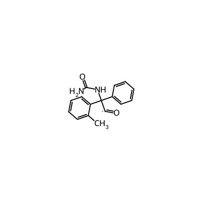 Cc1ccccc1C([C]=O)(NC(N)=O)c1ccccc1